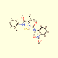 Cc1ccccc1NC(=O)C(C(C)C)N(S)C(=O)Nc1ccccc1[N+](=O)[O-]